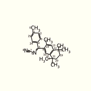 Cc1ccc(/C(=N\C#N)c2cc3c(cc2C)C(C)(C)CCC3(C)C)cc1